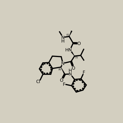 CN[C@@H](C)C(=O)N[C@H](C(=O)N1CCc2ccc(Cl)cc2[C@@H]1C(=O)Nc1c(F)cccc1F)C(C)C